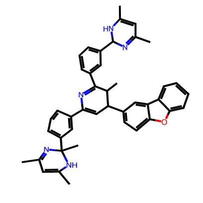 CC1=CC(C)=NC(c2cccc(C3=NC(c4cccc(C5(C)N=C(C)C=C(C)N5)c4)=CC(c4ccc5oc6ccccc6c5c4)C3C)c2)N1